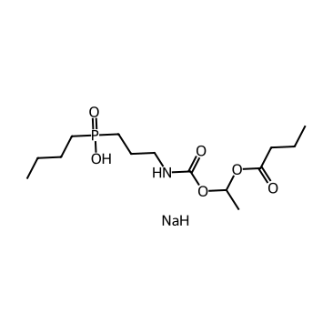 CCCCP(=O)(O)CCCNC(=O)OC(C)OC(=O)CCC.[NaH]